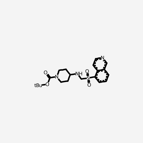 CC(C)(C)OC(=O)N1CCC(NCS(=O)(=O)c2cccc3cnccc23)CC1